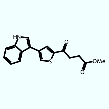 COC(=O)CCC(=O)c1cc(-c2c[nH]c3ccccc23)cs1